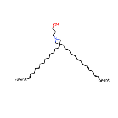 CCCCCC=CCC=CCCCCCCCCC1(CCCCCCCCC=CCC=CCCCCC)CN(CCCO)C1